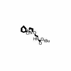 CC(C)(C)OC(=O)NCCOc1ccn(C2(Cl)C=CC=CC2)n1